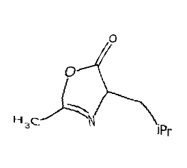 CC1=NC(CC(C)C)C(=O)O1